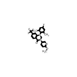 COc1ccc(N2CN(c3c(C)cc(F)cc3C)c3cc(C(F)(F)F)ccc3C2=O)cn1